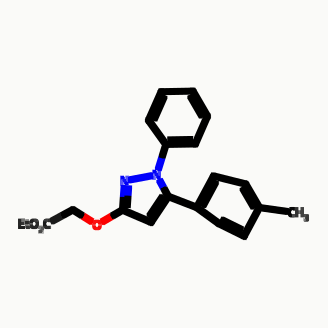 CCOC(=O)COc1cc(-c2ccc(C)cc2)n(-c2ccccc2)n1